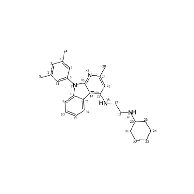 Cc1cc(C)cc(-n2c3ccccc3c3c(NCCNC4CCCCC4)cc(C)nc32)c1